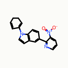 O=[N+]([O-])c1cccnc1-c1ccc2c(ccn2C2=CCCC=C2)c1